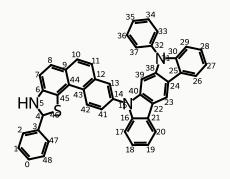 c1ccc(C2Nc3ccc4ccc5cc(-n6c7ccccc7c7cc8c9ccccc9n(-c9ccccc9)c8cc76)ccc5c4c3S2)cc1